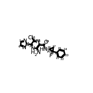 Nc1nc(-n2nccn2)c(Cl)nc1C(=O)N[C@@H]1C[C@@]1(F)c1ccccc1